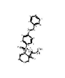 O=C(NO)C1(O)CNCCC1S(=O)(=O)c1ccc(OCc2ccccc2)cc1